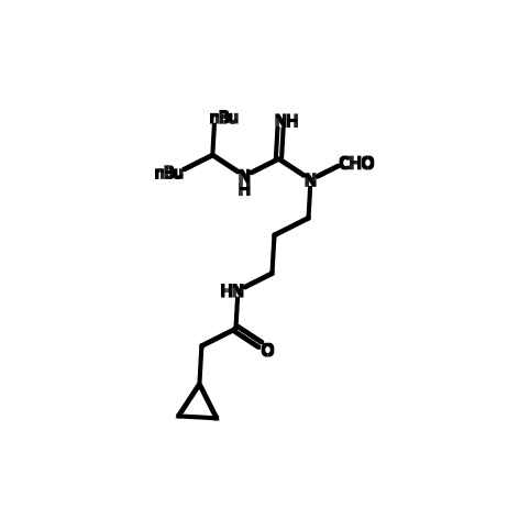 CCCCC(CCCC)NC(=N)N(C=O)CCCNC(=O)CC1CC1